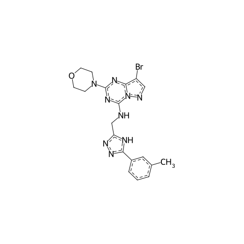 Cc1cccc(-c2nnc(CNc3nc(N4CCOCC4)nc4c(Br)cnn34)[nH]2)c1